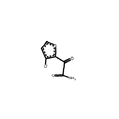 NC(=O)C(=O)c1sccc1Cl